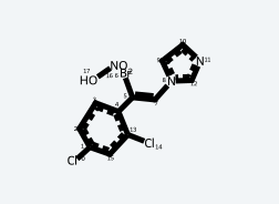 Clc1ccc(C(Br)=Cn2ccnc2)c(Cl)c1.O=[N+]([O-])O